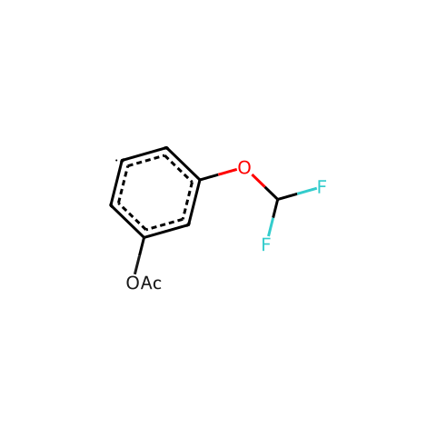 CC(=O)Oc1c[c]cc(OC(F)F)c1